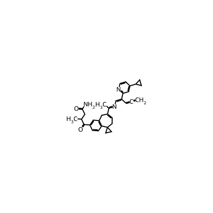 C=C=C/C(=C\N=C(/C)C1=CCC2(CC2)c2ccc(C(=O)C(C)CC(N)=O)cc2C1)c1cc(C2CC2)ccn1